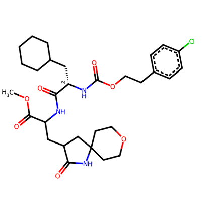 COC(=O)C(CC1CC2(CCOCC2)NC1=O)NC(=O)[C@H](CC1CCCCC1)NC(=O)OCCc1ccc(Cl)cc1